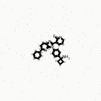 NC1(c2ccc(-n3c(-c4cccnc4F)nc4ccc(-c5ccccc5)nc43)cc2)CCC1